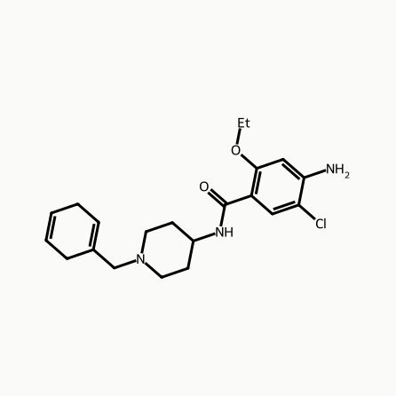 CCOc1cc(N)c(Cl)cc1C(=O)NC1CCN(CC2=CCC=CC2)CC1